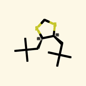 CC(C)(C)C[C@@H]1SCS[C@H]1CC(C)(C)C